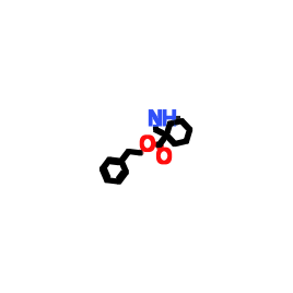 [NH]CC1(C(=O)OCCc2ccccc2)CCCCC1